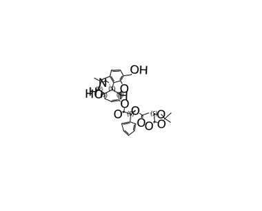 CN1CC[C@]23c4c5ccc(CO)c4O[C@H]2C(OC(=O)[C@@H](OC(=O)C[C@@H]2OC(C)(C)OC2=O)c2ccccc2)=CC[C@@]3(O)[C@H]1C5